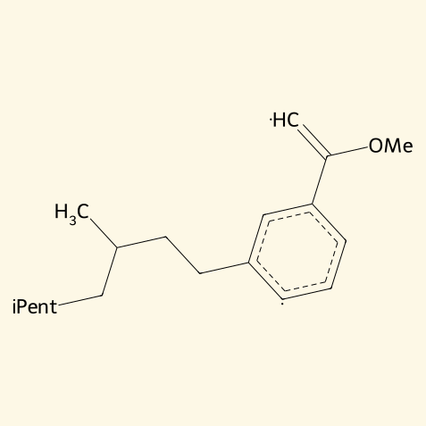 [CH]=C(OC)c1cc[c]c(CCC(C)CC(C)CCC)c1